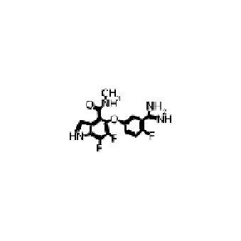 CNC(=O)c1c(Oc2ccc(F)c(C(=N)N)c2)c(F)c(F)c2[nH]ccc12